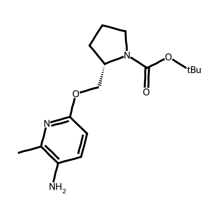 Cc1nc(OC[C@@H]2CCCN2C(=O)OC(C)(C)C)ccc1N